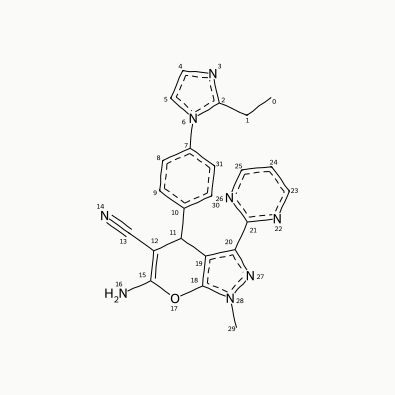 CCc1nccn1-c1ccc(C2C(C#N)=C(N)Oc3c2c(-c2ncccn2)nn3C)cc1